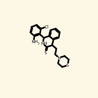 Nc1cccc(Cl)c1C1NC(=S)C(CCN2CCSCC2)c2ccccc21